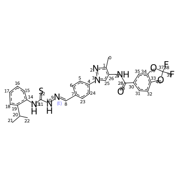 Cc1nn(-c2ccc(/C=N/NC(=S)Nc3ccccc3C(C)C)cc2)cc1NC(=O)c1ccc2c(c1)OC(F)(F)O2